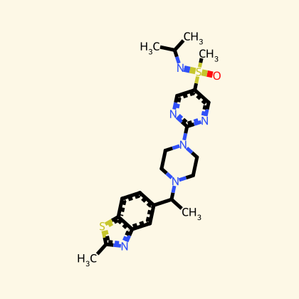 Cc1nc2cc(C(C)N3CCN(c4ncc(S(C)(=O)=NC(C)C)cn4)CC3)ccc2s1